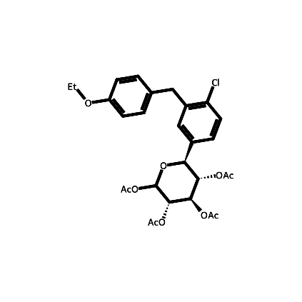 CCOc1ccc(Cc2cc([C@@H]3OC(OC(C)=O)[C@@H](OC(C)=O)[C@H](OC(C)=O)[C@H]3OC(C)=O)ccc2Cl)cc1